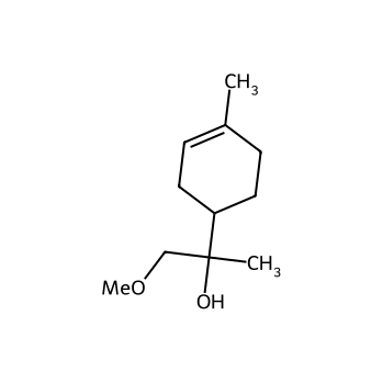 COCC(C)(O)C1CC=C(C)CC1